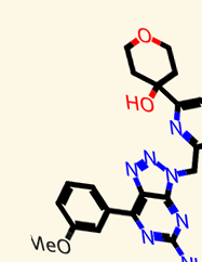 COc1cccc(-c2nc(N)nc3c2nnn3Cc2cccc(C3(O)CCOCC3)n2)c1